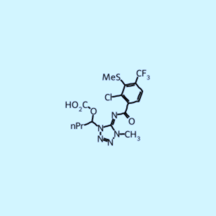 CCCC(OC(=O)O)n1nnn(C)c1=NC(=O)c1ccc(C(F)(F)F)c(SC)c1Cl